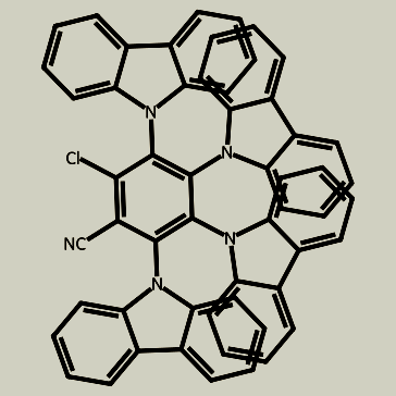 N#Cc1c(Cl)c(-n2c3ccccc3c3ccccc32)c(-n2c3ccccc3c3ccccc32)c(-n2c3ccccc3c3ccccc32)c1-n1c2ccccc2c2ccccc21